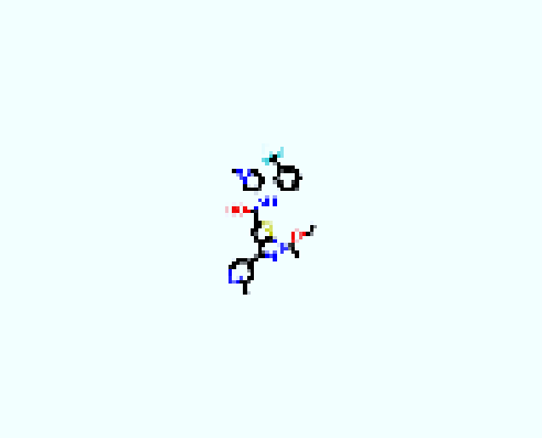 CCOC(C)n1nc(-c2ccnc(C)c2)c2cc(C(O)N[C@@H]3CN(C)C[C@H]3c3ccccc3C(F)(F)F)sc21